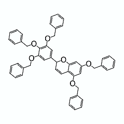 C1=CC(c2cc(OCc3ccccc3)c(OCc3ccccc3)c(OCc3ccccc3)c2)Oc2cc(OCc3ccccc3)cc(OCc3ccccc3)c21